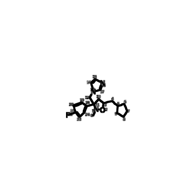 CN1OC(CC2CCCC2)CC1(Cn1ccnc1)c1ccc(F)cc1